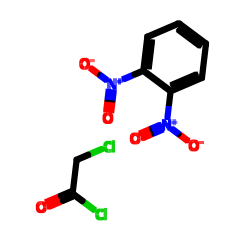 O=C(Cl)CCl.O=[N+]([O-])c1ccccc1[N+](=O)[O-]